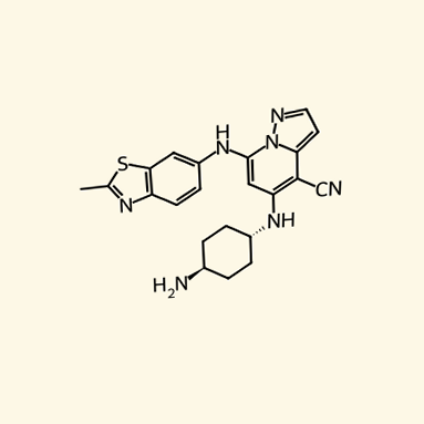 Cc1nc2ccc(Nc3cc(N[C@H]4CC[C@H](N)CC4)c(C#N)c4ccnn34)cc2s1